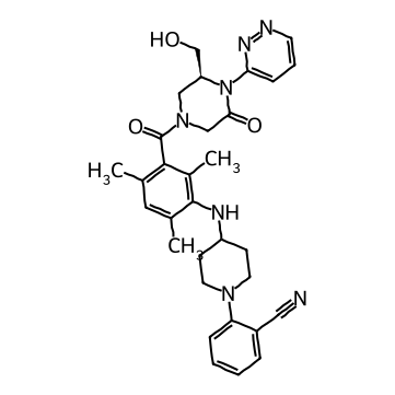 Cc1cc(C)c(C(=O)N2CC(=O)N(c3cccnn3)[C@H](CO)C2)c(C)c1NC1CCN(c2ccccc2C#N)CC1